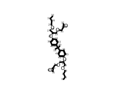 CCCCOCC(COCC1CO1)Oc1ccc(C(C)(C)c2ccc(OC(COCCCC)COCC3CO3)cc2)cc1